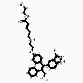 O=C(/C=C/CCNCCOc1ccc(/C(=C(/CC(F)(F)F)c2ccccc2)c2ccc3[nH]nc(F)c3c2)cc1)NCCO